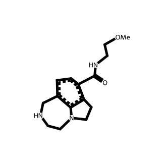 COCCNC(=O)c1ccc2c3c1CCN3CCNC2